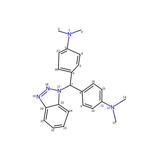 CN(C)c1ccc(C(c2ccc(N(C)C)cc2)n2nnc3ccccc32)cc1